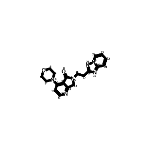 O=C1c2c(N3CCOCC3)ccnc2CN1CCc1nc2ccccn2n1